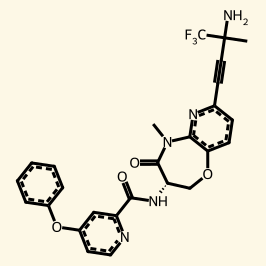 CN1C(=O)[C@@H](NC(=O)c2cc(Oc3ccccc3)ccn2)COc2ccc(C#CC(C)(N)C(F)(F)F)nc21